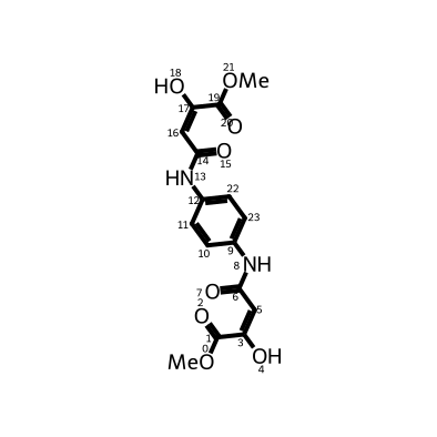 COC(=O)/C(O)=C\C(=O)Nc1ccc(NC(=O)/C=C(/O)C(=O)OC)cc1